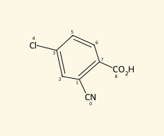 N#Cc1cc(Cl)ccc1C(=O)O